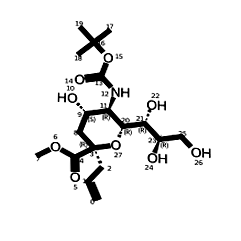 C=CC[C@]1(C(=O)OC)C[C@H](O)[C@@H](NC(=O)OC(C)(C)C)[C@H]([C@H](O)[C@H](O)CO)O1